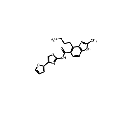 Cc1nc2c(CCCN)c(C(=O)Nc3nc(-c4ccco4)cs3)ccc2[nH]1